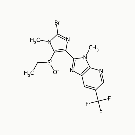 CC[S+]([O-])c1c(-c2nc3cc(C(F)(F)F)cnc3n2C)nc(Br)n1C